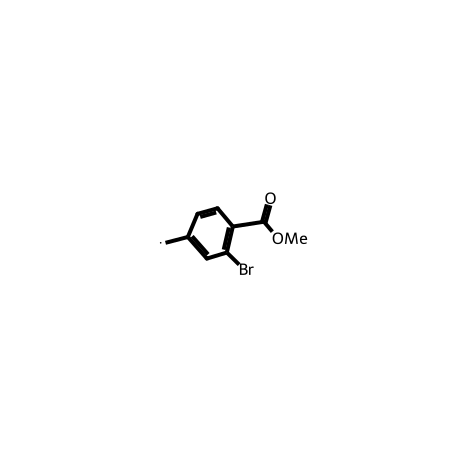 [CH2]c1ccc(C(=O)OC)c(Br)c1